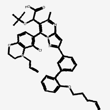 C=CCCCOc1ccccc1-c1cccc(-c2cc3nc(C)c(C(OC(C)(C)C)C(=O)O)c(-c4ccc5c(c4Cl)N(CC=C)CCO5)n3n2)c1